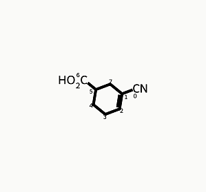 N#CC1=CCCC(C(=O)O)C1